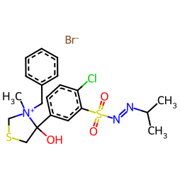 CC(C)N=NS(=O)(=O)c1cc(C2(O)CSC[N+]2(C)Cc2ccccc2)ccc1Cl.[Br-]